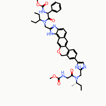 CCC(CC)N(Cc1nc2ccc3cc4c(cc3c2[nH]1)OCc1cc(-c2cnc(CN(C(=O)CNC(=O)OC)[C@@H](C)CC)[nH]2)ccc1-4)C(=O)C(NC(=O)OC)c1ccccc1